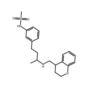 CC(CCc1cccc(NS(C)(=O)=O)c1)NCC1CCOc2ccccc21